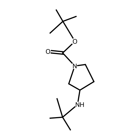 CC(C)(C)NC1CCN(C(=O)OC(C)(C)C)C1